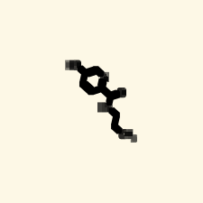 CCCNC(=O)c1ccc(O)cn1